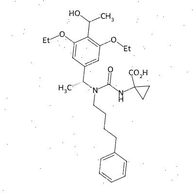 CCOc1cc([C@@H](C)N(CCCCc2ccccc2)C(=O)NC2(C(=O)O)CC2)cc(OCC)c1C(C)O